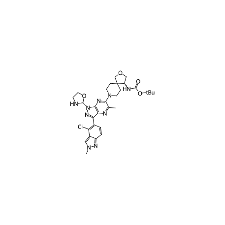 Cc1nc2c(-c3ccc4nn(C)cc4c3Cl)nn(C3NCCO3)c2nc1N1CCC2(CC1)COC[C@H]2NC(=O)OC(C)(C)C